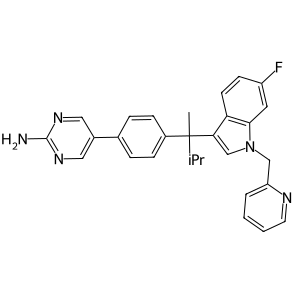 CC(C)C(C)(c1ccc(-c2cnc(N)nc2)cc1)c1cn(Cc2ccccn2)c2cc(F)ccc12